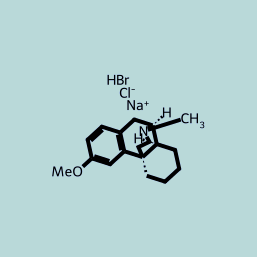 Br.COc1ccc2c(c1)[C@]13CCCC[C@@H]1[C@H](C2)N(C)CC3.[Cl-].[Na+]